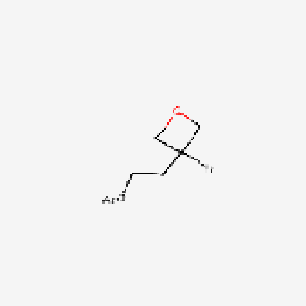 CCC1(CCOC(C)=O)COC1